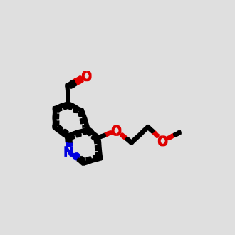 COCCOc1ccnc2ccc(C=O)cc12